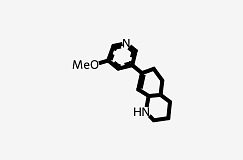 COc1cncc(C2=CC3NCCCC3CC2)c1